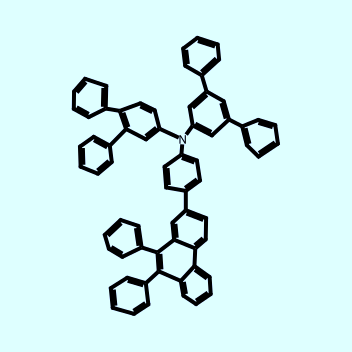 c1ccc(-c2cc(-c3ccccc3)cc(N(c3ccc(-c4ccc5c(c4)c(-c4ccccc4)c(-c4ccccc4)c4ccccc45)cc3)c3ccc(-c4ccccc4)c(-c4ccccc4)c3)c2)cc1